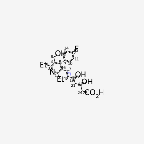 CCc1nc(CC)c(CO)c(-c2ccc(F)cc2)c1/C=C/[C@H](O)C[C@H](O)CC(=O)O